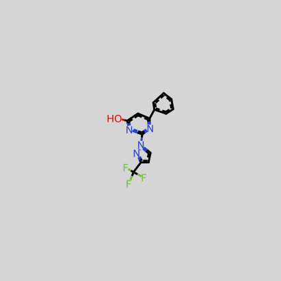 Oc1cc(-c2ccccc2)nc(-n2ccc(C(F)(F)F)n2)n1